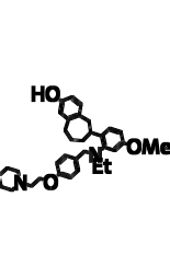 CCN(Cc1ccc(OCCN2CCCCC2)cc1)c1cc(OC)ccc1C1CCCc2cc(O)ccc2C1